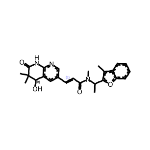 Cc1c(C(C)N(C)C(=O)/C=C/c2cnc3c(c2)[C@@H](O)C(C)(C)C(=O)N3)oc2ccccc12